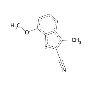 COc1cccc2c(C)c(C#N)sc12